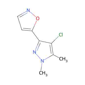 Cc1c(Cl)c(-c2ccno2)nn1C